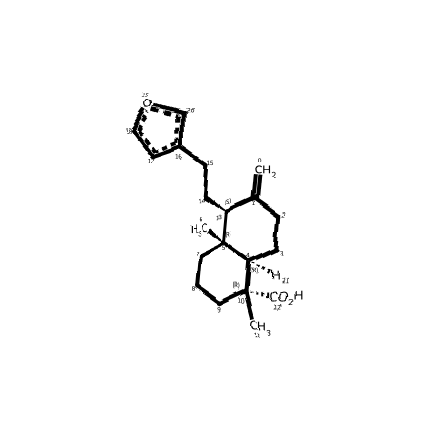 C=C1CC[C@@H]2[C@](C)(CCC[C@@]2(C)C(=O)O)[C@H]1CCc1ccoc1